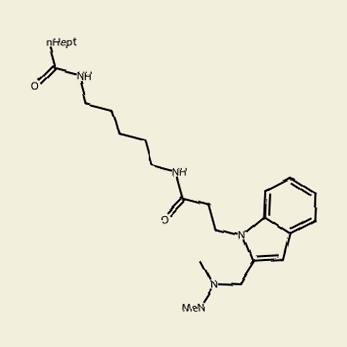 CCCCCCCC(=O)NCCCCCNC(=O)CCn1c(CN(C)NC)cc2ccccc21